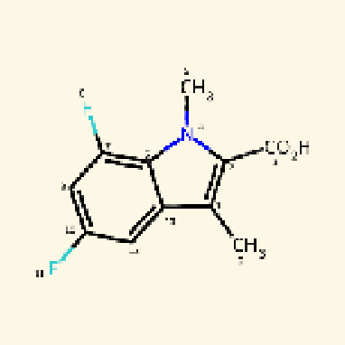 Cc1c(C(=O)O)n(C)c2c(F)cc(F)cc12